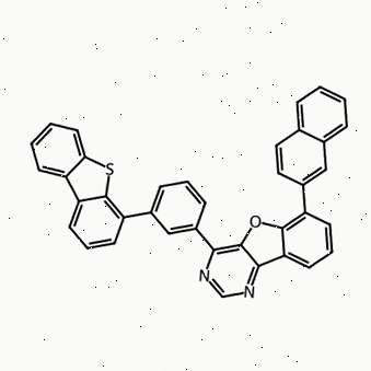 c1cc(-c2ncnc3c2oc2c(-c4ccc5ccccc5c4)cccc23)cc(-c2cccc3c2sc2ccccc23)c1